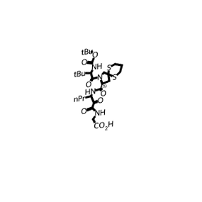 CCCC(NC(=O)[C@@H]1CC2(CN1C(=O)C(NC(=O)OC(C)(C)C)C(C)(C)C)SCCCS2)C(=O)C(=O)NCC(=O)O